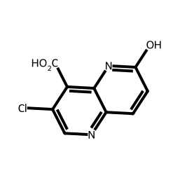 O=C(O)c1c(Cl)cnc2ccc(O)nc12